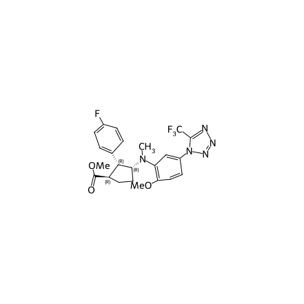 COC(=O)[C@@H]1CC[C@@H](N(C)c2cc(-n3nnnc3C(F)(F)F)ccc2OC)[C@H]1c1ccc(F)cc1